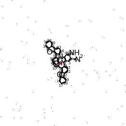 N#Cc1cc(-n2c3ccccc3c3c4oc5ccccc5c4ccc32)c(-n2c3ccccc3c3c4oc5ccccc5c4ccc32)cc1N